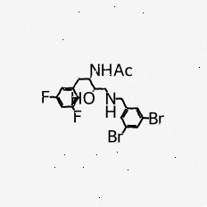 CC(=O)N[C@@H](Cc1cc(F)cc(F)c1)[C@@H](O)CNCc1cc(Br)cc(Br)c1